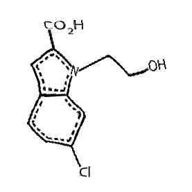 O=C(O)c1cc2ccc(Cl)cc2n1CCO